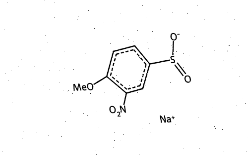 COc1ccc(S(=O)[O-])cc1[N+](=O)[O-].[Na+]